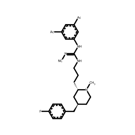 CC(=O)c1cc(NC(=NC#N)NCCC[C@H]2C[C@H](Cc3ccc(F)cc3)CCN2C)cc(C(C)=O)c1